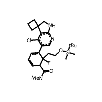 CNC(=O)C1C=CC=C(c2cnc3c(c2Cl)C2(CCC2)CN3)C1(F)CCO[Si](C)(C)C(C)(C)C